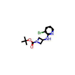 CC(C)(C)OC(=O)N1CC(Nc2ncccc2Br)C1